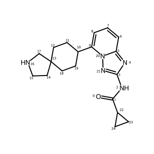 O=C(Nc1nc2cccc(C3CCC4(CCNC4)CC3)n2n1)C1CC1